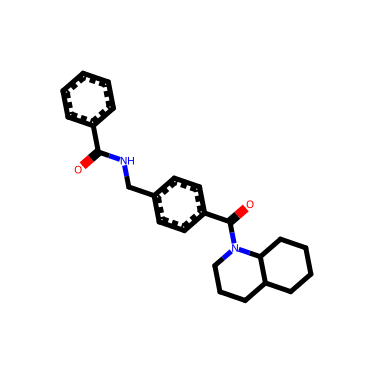 O=C(NCc1ccc(C(=O)N2CCCC3CCCCC32)cc1)c1ccccc1